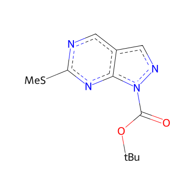 CSc1ncc2cnn(C(=O)OC(C)(C)C)c2n1